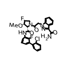 CO[C@H]1[C@@H](C(=O)Nc2cccc(-c3ccccc3Cl)c2F)N(C(=O)Cn2nc(C(N)=O)c3ccccc32)C[C@@H]1F